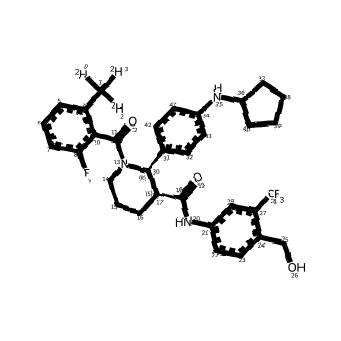 [2H]C([2H])([2H])c1cccc(F)c1C(=O)N1CCC[C@H](C(=O)Nc2ccc(CO)c(C(F)(F)F)c2)[C@@H]1c1ccc(NC2CCCC2)cc1